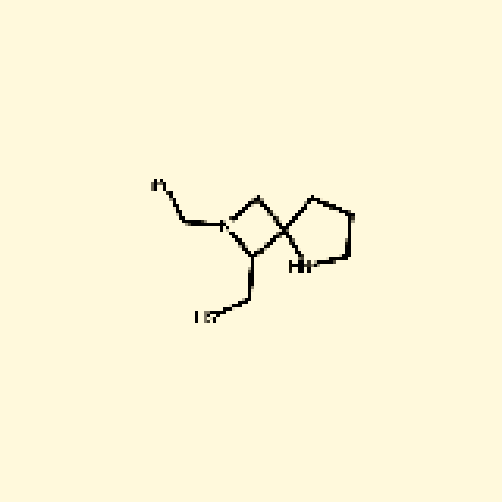 CC(C)CN1CC2(CCCN2)C1CS